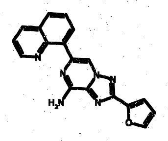 Nc1nc(-c2cccc3cccnc23)cn2nc(-c3ccco3)nc12